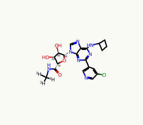 [2H]C([2H])([2H])NC(=O)[C@H]1O[C@@H](n2cnc3c(NC4CCC4)nc(-c4cncc(Cl)c4)nc32)[C@H](O)[C@@H]1O